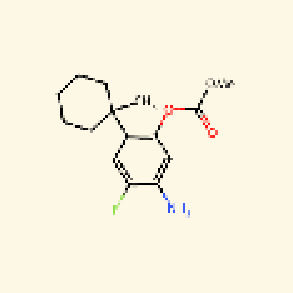 COC(=O)Oc1cc(N)c(F)cc1C1(C)CCCCC1